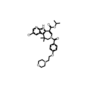 CC(C)OC(=O)C1=CN(C(=O)c2ccc(OCCN3CCOCC3)cc2)CC(C)(C)c2c1[nH]c1ncc(Cl)cc21